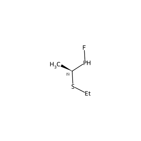 CCS[C@@H](C)PF